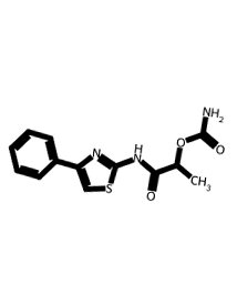 CC(OC(N)=O)C(=O)Nc1nc(-c2ccccc2)cs1